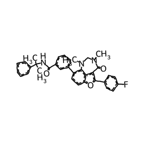 CN1CN(C)c2c(-c3cccc(C(=O)NC(C)(C)c4ccccc4)c3)ccc3oc(-c4ccc(F)cc4)c(c23)C1=O